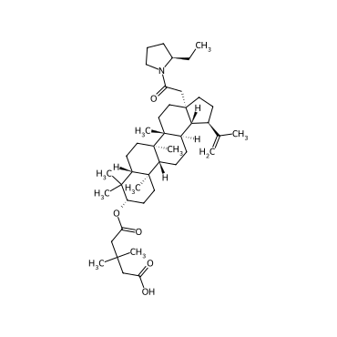 C=C(C)[C@@H]1CC[C@]2(CC(=O)N3CCC[C@H]3CC)CC[C@]3(C)[C@H](CC[C@@H]4[C@@]5(C)CC[C@H](OC(=O)CC(C)(C)CC(=O)O)C(C)(C)[C@@H]5CC[C@]43C)[C@@H]12